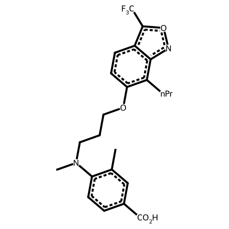 CCCc1c(OCCCN(C)c2ccc(C(=O)O)cc2C)ccc2c(C(F)(F)F)onc12